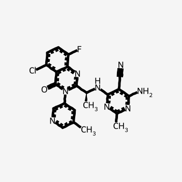 Cc1cncc(-n2c([C@H](C)Nc3nc(C)nc(N)c3C#N)nc3c(F)ccc(Cl)c3c2=O)c1